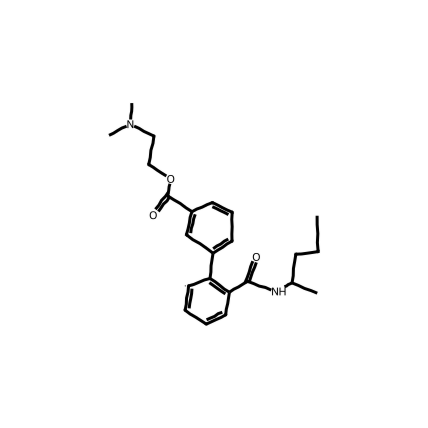 CCCC(C)NC(=O)c1ccc[c]c1-c1cccc(C(=O)OCCN(C)C)c1